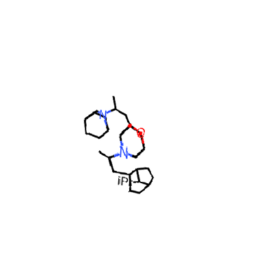 CC(C)C1C2CCC(CC(C)N3CC4CCC3C(CC(C)N3CC5CCC3CC5)O4)C1CC2